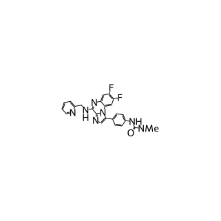 CNC(=O)Nc1ccc(-c2cnc3c(NCc4ccccn4)nc4cc(F)c(F)cc4n23)cc1